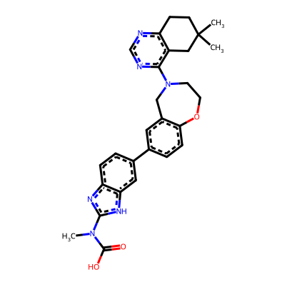 CN(C(=O)O)c1nc2ccc(-c3ccc4c(c3)CN(c3ncnc5c3CC(C)(C)CC5)CCO4)cc2[nH]1